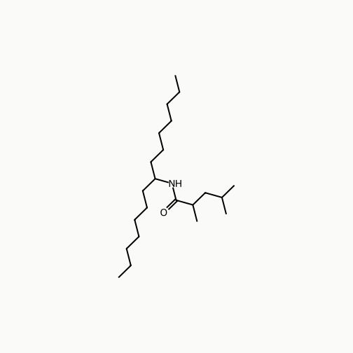 CCCCCCCC(CCCCCCC)NC(=O)C(C)CC(C)C